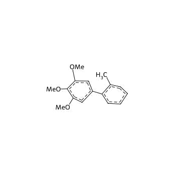 COc1cc(-c2ccccc2C)cc(OC)c1OC